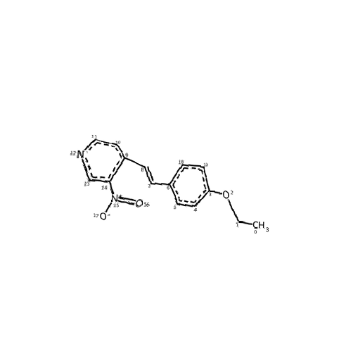 CCOc1ccc(C=Cc2ccncc2[N+](=O)[O-])cc1